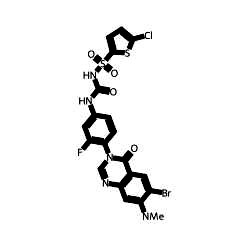 CNc1cc2ncn(-c3ccc(NC(=O)NS(=O)(=O)c4ccc(Cl)s4)cc3F)c(=O)c2cc1Br